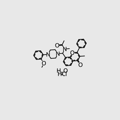 COc1ccccc1N1CCN(C(c2cccc3c(=O)c(C)c(-c4ccccc4)oc23)N(C)C(C)=O)CC1.Cl.O